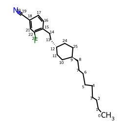 CCCCCCCCC[C@H]1CC[C@H](CCc2ccc(C#N)cc2F)CC1